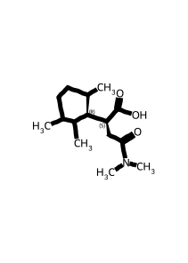 CC1CCC(C)[C@@H]([C@H](CC(=O)N(C)C)C(=O)O)C1C